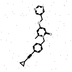 Cc1cc(OCc2cncnc2)cc(=O)n1Cc1ccc(C#CC2CC2)cc1